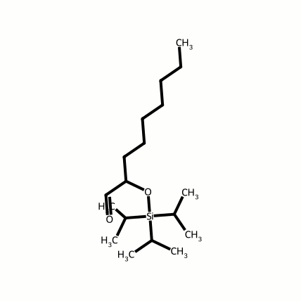 CCCCCCCC(C=O)O[Si](C(C)C)(C(C)C)C(C)C